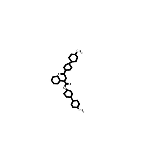 CC1CCC(C2CCC(OC(=O)C(CC(=O)C3CCC(C4CCC(C)CC4)CC3)C3CCCCC3)CC2)CC1